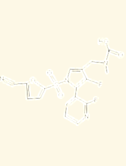 CN(Cc1cn(S(=O)(=O)c2ccc(C#N)o2)c(-c2cccnc2F)c1F)C(=O)O